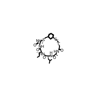 CC[C@H](C)[C@@H]1NC(=O)[C@H](CC(C)C)NC(=O)[C@H](C)NC(=O)CCSCc2cccc(c2)CSC[C@@H](C(N)=O)NC1=O